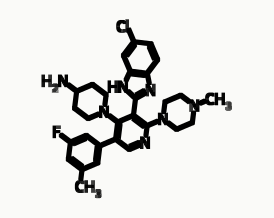 Cc1cc(F)cc(-c2cnc(N3CCN(C)CC3)c(-c3nc4ccc(Cl)cc4[nH]3)c2N2CCC(N)CC2)c1